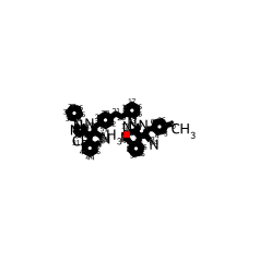 CCc1ccc(-c2nc3c(c(C)nn3-c3ccccc3CCc3ccc(-c4nc5c(c(C)nn5-c5ccccc5)c(-c5ccccc5I)c4C#N)cc3)c(-c3ccccc3C#N)c2C#N)cc1